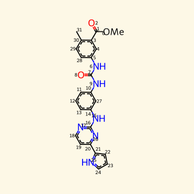 COC(=O)c1cc(NC(=O)Nc2cccc(Nc3nccc(-c4ccc[nH]4)n3)c2)ccc1C